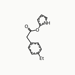 CCc1ccc(CC(=O)Oc2ccc[nH]2)cc1